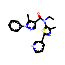 CCN(C(=O)c1cnn(-c2ccccc2)c1C)c1sc(-c2cccnc2)nc1C